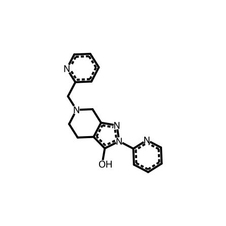 Oc1c2c(nn1-c1ccccn1)CN(Cc1ccccn1)CC2